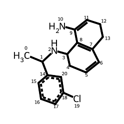 CC(NC1CC=CC2=C1C(N)=CCC2)c1cccc(Cl)c1